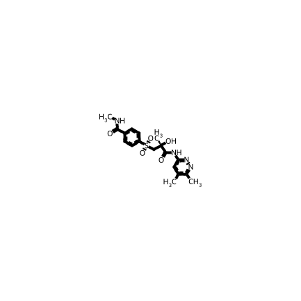 CNC(=O)c1ccc(S(=O)(=O)C[C@](C)(O)C(=O)Nc2cc(C)c(C)nn2)cc1